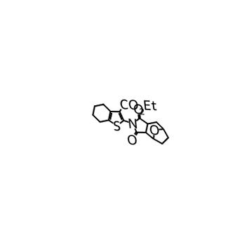 CCOC(=O)c1c(N2C(=O)C3CC4CCC(O4)C3C2=O)sc2c1CCCC2